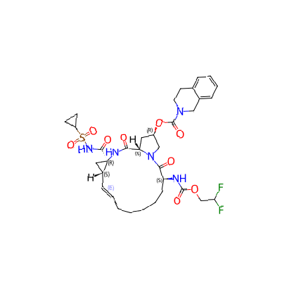 O=C(N[C@H]1CCCCC/C=C/[C@@H]2C[C@@]2(C(=O)NS(=O)(=O)C2CC2)NC(=O)[C@@H]2C[C@@H](OC(=O)N3CCc4ccccc4C3)CN2C1=O)OCC(F)F